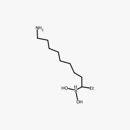 CCC(CCCCCCCCN)[SiH](O)O